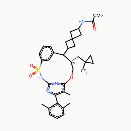 COC(=O)NC1CC2(C1)CC(C1c3cccc(c3)S(=O)(=O)Nc3nc(c(C)c(-c4c(C)cccc4C)n3)OC[C@H]1CC1(C(F)(F)F)CC1)C2